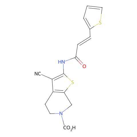 N#Cc1c(NC(=O)C=Cc2cccs2)sc2c1CCN(C(=O)O)C2